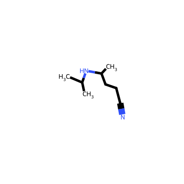 CC(C)NC(C)CCC#N